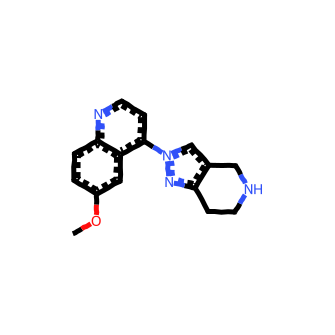 COc1ccc2nccc(-n3cc4c(n3)CCNC4)c2c1